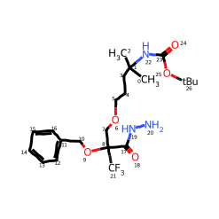 CC(C)(CCCOCC(OCc1ccccc1)(C(=O)NN)C(F)(F)F)NC(=O)OC(C)(C)C